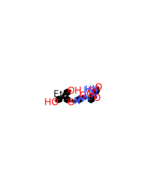 CCC(=C(c1ccc(O)cc1)c1ccc(OCCN2CCN(C(=O)CNc3cccc4c3C(=O)N(C3CCC(=O)NC3=O)C4=O)CC2)cc1)c1ccc(O)cc1